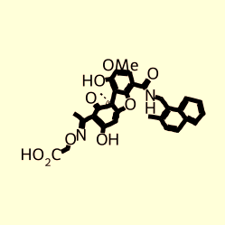 COc1cc(O)c2c(c1C(=O)NCc1c(C)ccc3ccccc13)OC1=CC(O)=C(C(C)=NOCC(=O)O)C(=O)[C@]12C